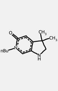 CCCCn1cc2c(cc1=O)C(C)(C)CN2